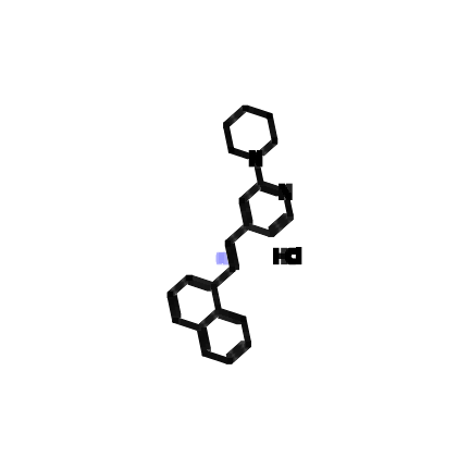 C(=C\c1cccc2ccccc12)/c1ccnc(N2CCCCC2)c1.Cl